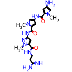 Cn1cc(N)cc1C(=O)Nc1cc(C(=O)Nc2cc(C(=O)NCCC(=N)N)n(C)n2)n(C)c1